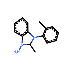 Cc1ccccc1N1c2ccccc2N(N)C1C